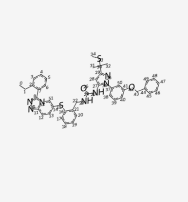 CCc1ccccc1-c1nnc2ccc(Sc3ccccc3CNC(=O)Nc3cc(C(C)(C)SC)nn3-c3cccc(OCc4ccccc4)c3)cn12